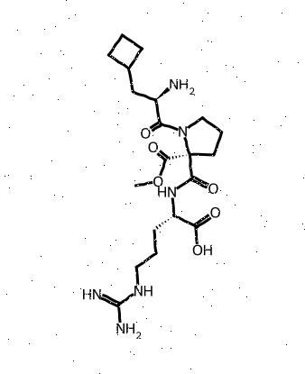 COC(=O)[C@@]1(C(=O)N[C@@H](CCCNC(=N)N)C(=O)O)CCCN1C(=O)[C@H](N)CC1CCC1